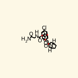 NC(=O)CNC(=O)c1cc(Cl)ccc1OCC(=O)N1[C@@H]2CC[C@H]1CC(Oc1ccc(F)cc1)C2